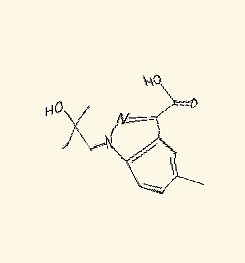 Cc1ccc2c(c1)c(C(=O)O)nn2CC(C)(C)O